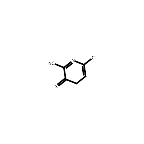 N#CC1=NC(Cl)=CCC1=S